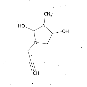 C#CCN1CC(O)N([CH2])C1O